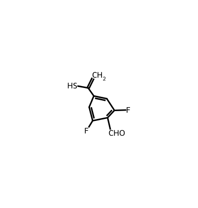 C=C(S)c1cc(F)c(C=O)c(F)c1